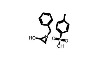 Cc1ccc(S(=O)(=O)O)cc1.OC1CN1Cc1ccccc1